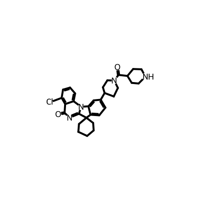 O=C(C1CCNCC1)N1CCC(c2ccc3c(c2)-n2c(nc(=O)c4c(Cl)cccc42)C32CCCCC2)CC1